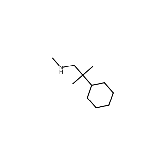 CNCC(C)(C)C1CCCCC1